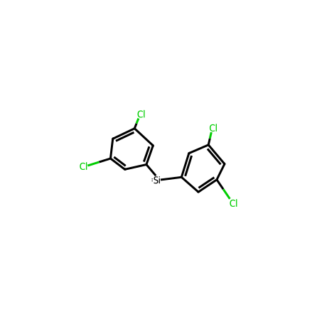 Clc1cc(Cl)cc([Si]c2cc(Cl)cc(Cl)c2)c1